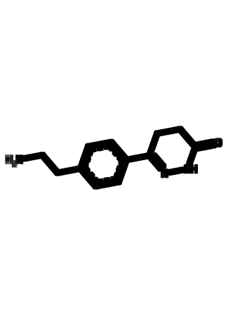 NCCc1ccc(C2=NNC(=O)CC2)cc1